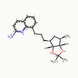 C[C@@H]1C[C@H](CCCc2cccc3ccc(N)nc23)[C@H]2OC(C)(C)O[C@H]21